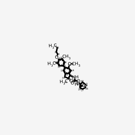 CCCCOc1c(C)cc(-c2cc3c(cc2OC)C(NC(=O)O[C@H]2CN4CCC2CC4)C(C)(C)C3)cc1C